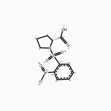 O=C(O)[C@H]1CCCN1S(=O)(=O)c1ccccc1[N+](=O)[O-]